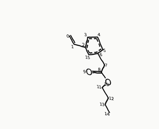 C=Cc1cccc(CC(=O)OCCCC)c1